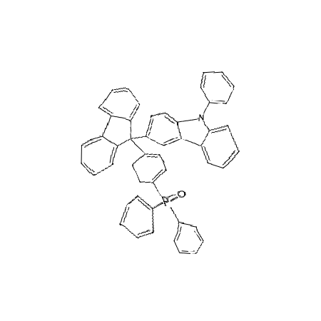 O=P(C1=CC=C(C2(c3ccc4c(c3)c3ccccc3n4-c3ccccc3)c3ccccc3-c3ccccc32)CC1)(c1ccccc1)c1ccccc1